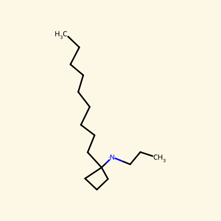 CCCCCCCCCC1([N]CCC)CCC1